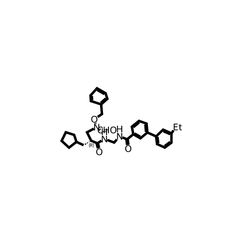 CCc1cccc(-c2cccc(C(=O)NCNC(=O)[C@H](CC3CCCC3)CN(C=O)OCc3ccccc3)c2)c1